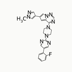 Cn1cc(-c2cc3c(N4CCN(c5ncc(-c6ccccc6F)cn5)CC4)ncnn3c2)cn1